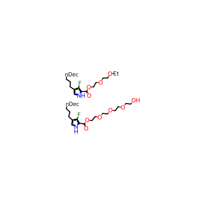 CCCCCCCCCCCCCc1c[nH]c(C(=O)OCCOCCOCC)c1F.CCCCCCCCCCCCCc1c[nH]c(C(=O)OCCOCCOCCOCCO)c1F